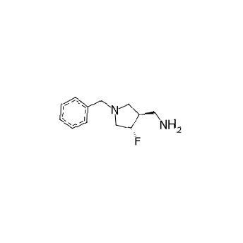 NC[C@@H]1CN(Cc2ccccc2)C[C@H]1F